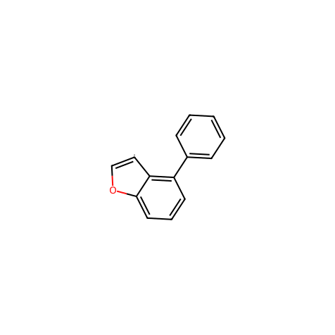 [c]1coc2cccc(-c3ccccc3)c12